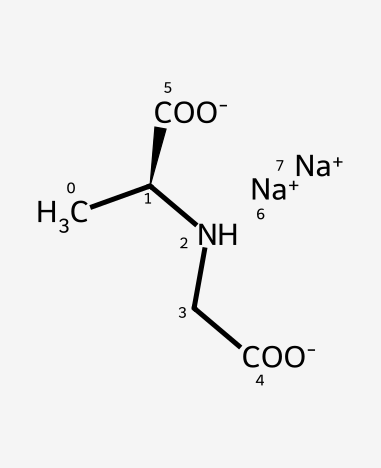 C[C@H](NCC(=O)[O-])C(=O)[O-].[Na+].[Na+]